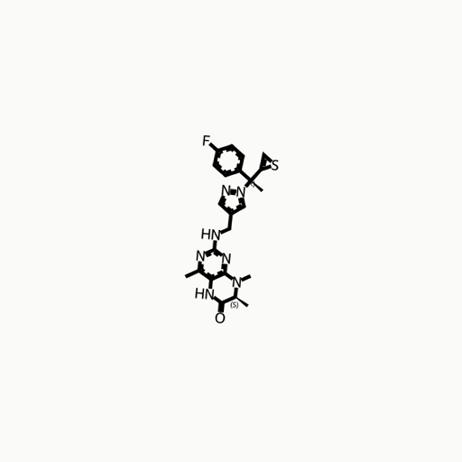 Cc1nc(NCc2cnn([C@@](C)(C3=CS3)c3ccc(F)cc3)c2)nc2c1NC(=O)[C@H](C)N2C